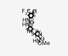 CONC(=O)c1cc(Sc2ccc(NC(=O)Nc3ccc(Cl)c(C(F)(F)F)c3)cn2)ccn1